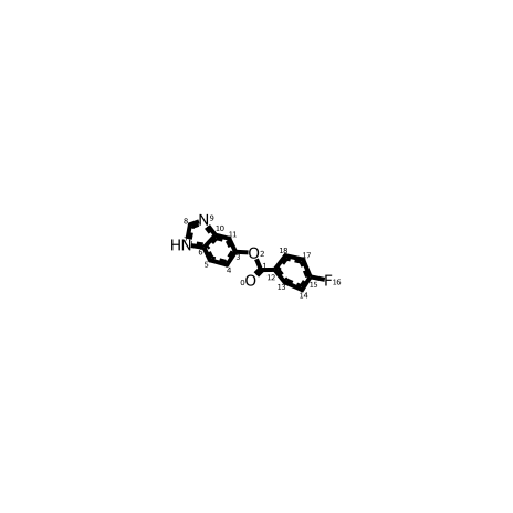 O=C(Oc1ccc2[nH]cnc2c1)c1ccc(F)cc1